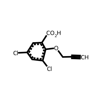 C#CCOc1c(Cl)cc(Cl)cc1C(=O)O